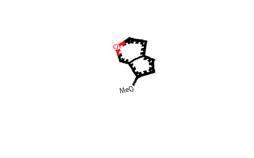 COc1c[c]c2ccocc1-2